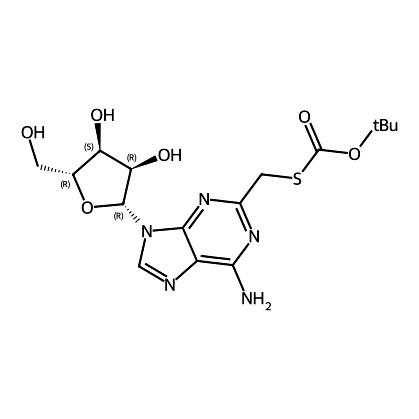 CC(C)(C)OC(=O)SCc1nc(N)c2ncn([C@@H]3O[C@H](CO)[C@@H](O)[C@H]3O)c2n1